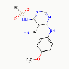 CCS(=O)(=O)NC1=NC=NC(Nc2ccc(OC(F)(F)F)cc2)C1C=N